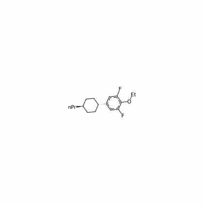 CCC[C@H]1CC[C@H](c2cc(F)c(OCC)c(F)c2)CC1